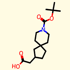 CC(C)(C)OC(=O)N1CCC2(CCC(CC(=O)O)C2)CC1